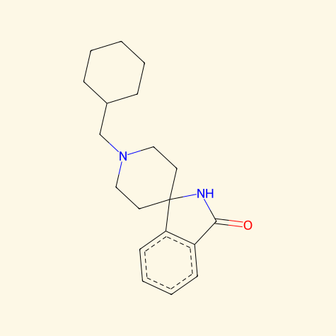 O=C1NC2(CCN(CC3CCCCC3)CC2)c2ccccc21